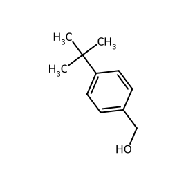 CC(C)(C)c1ccc(CO)cc1